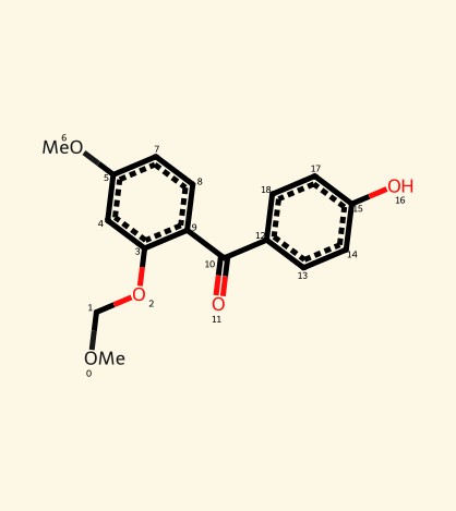 COCOc1cc(OC)ccc1C(=O)c1ccc(O)cc1